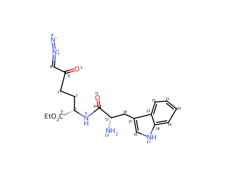 CCOC(=O)[C@H](CCC(=O)C=[N+]=[N-])NC(=O)[C@@H](N)Cc1c[nH]c2ccccc12